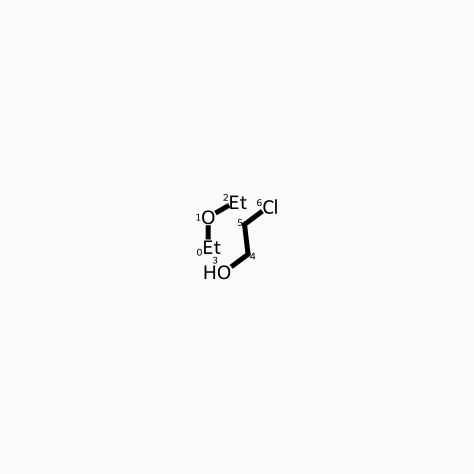 CCOCC.OCCCl